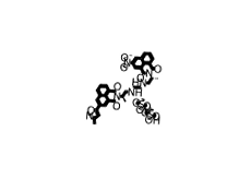 CS(=O)(=O)O.CS(=O)(=O)O.Cc1cc(-c2cc3c4c(cccc4c2)C(=O)N([C@H](C)CNCCNC[C@@H](C)N2C(=O)c4cccc5cc([N+](=O)[O-])cc(c45)C2=O)C3=O)on1